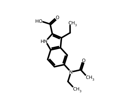 CCc1c(C(=O)O)[nH]c2ccc(N(CC)C(C)=O)cc12